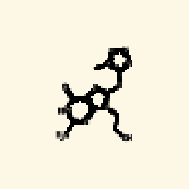 Cn1nnnc1Sc1nc2c(=O)[nH]c(N)nc2n1CCO